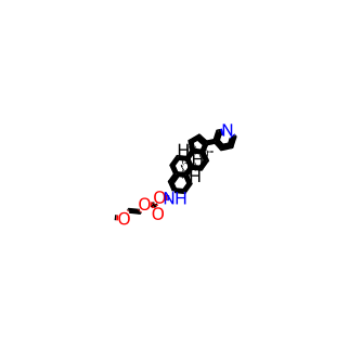 COCCOC(=O)ONC1C=C2CC[C@H]3[C@H](CC[C@]4(C)C(c5cccnc5)=CC[C@@H]34)[C@@]2(C)CC1